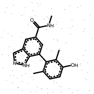 CNC(=O)c1cc(-c2c(C)ccc(O)c2C)c2[nH]ncc2c1